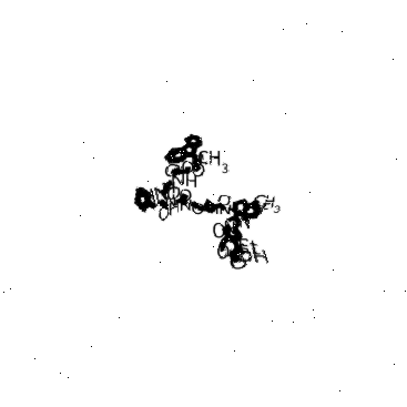 CC[C@@]1(O)C(=O)OCc2c1cc1n(c2=O)Cc2c-1nc1cc(F)c(C)c3c1c2[C@@H](NC(=O)C1CC(OCNC(=O)CNC(=O)[C@H](Cc2ccccc2)NC(=O)CNC(=O)COC(=O)N(C)C2c4ccccc4-c4ccccc42)C1)CC3